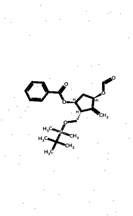 C=C1[C@H](OC=O)C[C@H](OC(=O)c2ccccc2)[C@H]1CO[Si](C)(C)C(C)(C)C